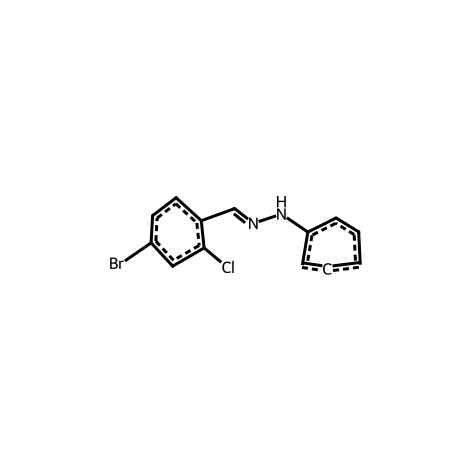 Clc1cc(Br)ccc1C=NNc1ccccc1